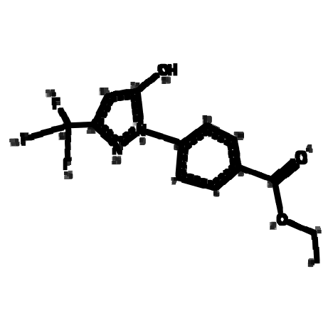 CCOC(=O)c1ccc(-n2nc(C(F)(F)F)cc2O)cc1